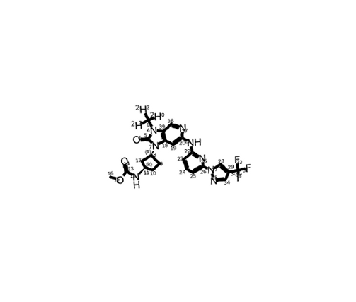 [2H]C([2H])([2H])n1c(=O)n([C@@H]2CC[C@@H](NC(=O)OC)C2)c2cc(Nc3cccc(-n4cc(C(F)(F)F)cn4)n3)ncc21